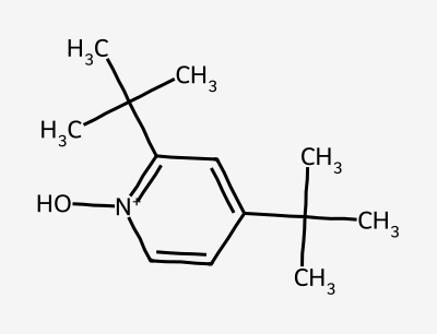 CC(C)(C)c1cc[n+](O)c(C(C)(C)C)c1